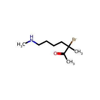 CNCCCCC(C)(Br)C(C)=O